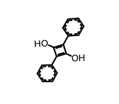 OC1=C(c2ccccc2)C(O)=C1c1ccccc1